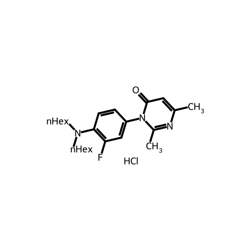 CCCCCCN(CCCCCC)c1ccc(-n2c(C)nc(C)cc2=O)cc1F.Cl